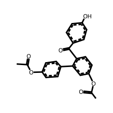 CC(=O)Oc1ccc(-c2cc(OC(C)=O)ccc2C(=O)c2ccc(O)cc2)cc1